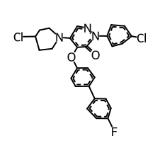 O=c1c(Oc2ccc(-c3ccc(F)cc3)cc2)c(N2CCC(Cl)CC2)cnn1-c1ccc(Cl)cc1